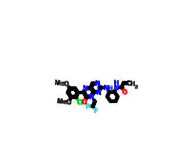 C=CC(=O)NC1CCCCC1Nc1ncc2nc(-c3cc(OC)cc(OC)c3Cl)c(=O)n(CC(F)F)c2n1